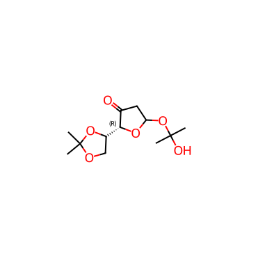 CC(C)(O)OC1CC(=O)[C@@H](C2COC(C)(C)O2)O1